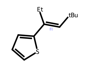 CC/C(=C\C(C)(C)C)c1cccs1